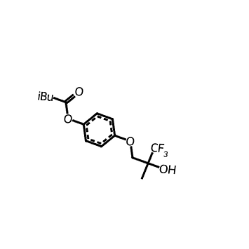 CCC(C)C(=O)Oc1ccc(OCC(C)(O)C(F)(F)F)cc1